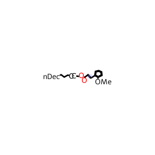 CCCCCCCCCCCCCCCCOC(=O)/C=C/c1ccccc1OC